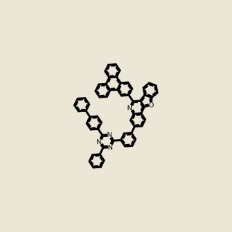 c1ccc(-c2ccc(-c3nc(-c4ccccc4)nc(-c4cccc(-c5ccc6c(c5)nc(-c5ccc7c8ccccc8c8ccccc8c7c5)c5c7ccccc7oc65)c4)n3)cc2)cc1